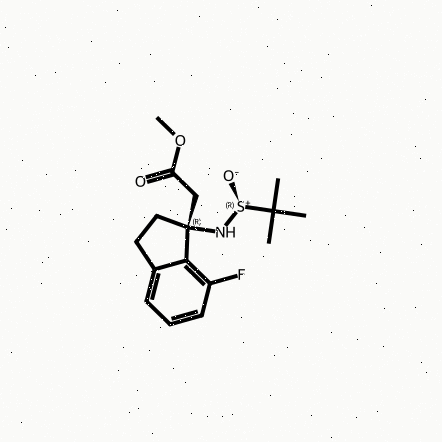 COC(=O)C[C@]1(N[S@@+]([O-])C(C)(C)C)CCc2cccc(F)c21